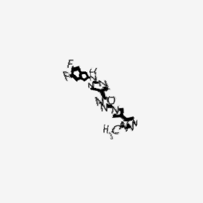 Cn1nncc1C1CN(c2nnc(-c3cnc(NC4Cc5cc(F)c(F)cc5C4)nc3)o2)C1